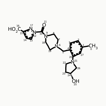 Cc1ccc(CN2CCN(C(=O)n3ccc(C(=O)O)n3)CC2)c(N2CC[C@H](O)C2)c1